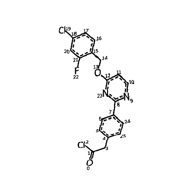 O=C(Cl)Cc1ccc(-c2nccc(OCc3ccc(Cl)cc3F)n2)cc1